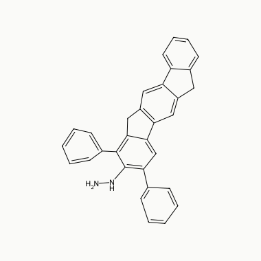 NNc1c(-c2ccccc2)cc2c(c1-c1ccccc1)Cc1cc3c(cc1-2)Cc1ccccc1-3